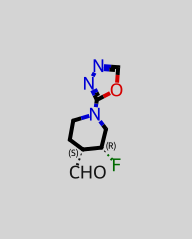 O=C[C@@H]1CCN(c2nnco2)C[C@@H]1F